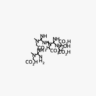 CN(CC(=O)O)C(=N)N.CN(CC(=O)O)C(=N)N.CN(CC(=O)O)C(=N)N.O=C(O)CC(O)C(=O)O